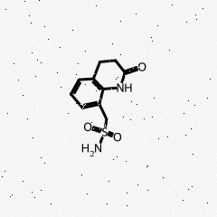 NS(=O)(=O)Cc1cccc2c1NC(=O)CC2